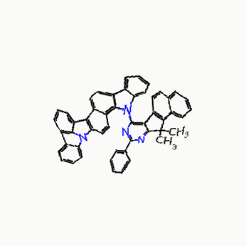 CC1(C)c2nc(-c3ccccc3)nc(-n3c4ccccc4c4ccc5c(ccc6c5c5cccc7c8ccccc8n6c75)c43)c2-c2ccc3ccccc3c21